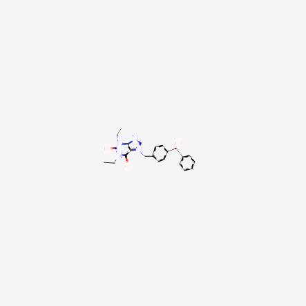 CCn1c(=O)c2c(ncn2Cc2ccc(C(=O)c3ccc(Cl)cc3)cc2)n(CC)c1=O